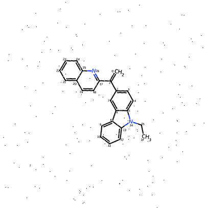 C=C(c1ccc2c(c1)c1ccccc1n2CC)c1ccc2ccccc2n1